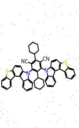 N#Cc1c(C2CCCCC2)c(C#N)c(-n2c3ccccc3c3c4c(ccc32)sc2ccccc24)c(C2CCCCC2)c1-n1c2ccccc2c2c3c(ccc21)sc1ccccc13